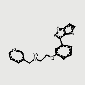 c1cncc(CNCCOc2cccc(-c3noc4ccsc34)c2)c1